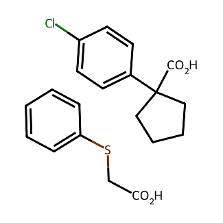 O=C(O)C1(c2ccc(Cl)cc2)CCCC1.O=C(O)CSc1ccccc1